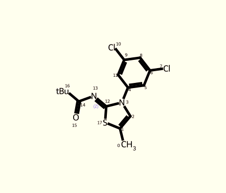 Cc1cn(-c2cc(Cl)cc(Cl)c2)/c(=N/C(=O)C(C)(C)C)s1